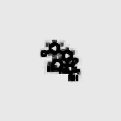 CN1C(=N)NC(c2cccc(-c3cccc(Cl)c3)c2)(C2CCCNC2)C1=O